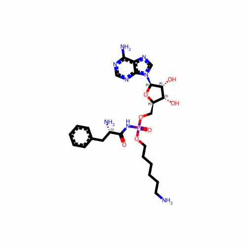 NCCCCCCOP(=O)(NC(=O)[C@@H](N)Cc1ccccc1)OC[C@H]1O[C@@H](n2cnc3c(N)ncnc32)[C@H](O)[C@@H]1O